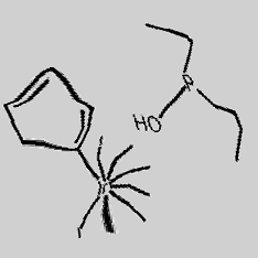 CCP(O)CC.[CH3][Ir]([CH3])([CH3])([CH3])([CH3])([I])([I])[C]1=CC=CC1